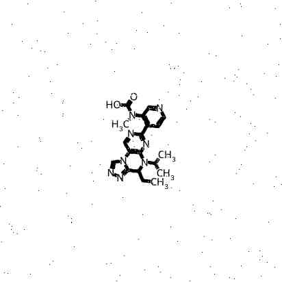 CCC1c2nncn2-c2cnc(-c3ccncc3N(C)C(=O)O)nc2N1C(C)C